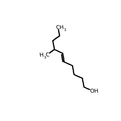 CCCC(C)C=CCCCCO